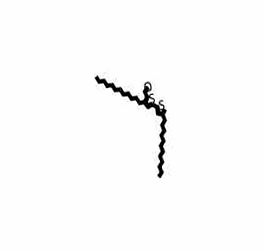 CCCCCCCCCCCCc1csc(-c2cc(CCCCCCCCCCCC)c(C=O)s2)c1